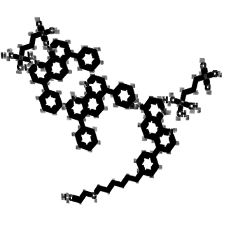 C=CCOCCCCCCc1ccc(-c2ccnc3c2ccc2[c]([Ru+2])ccnc23)cc1.C[Si](C)(C)CCCS(=O)(=O)[O-].C[Si](C)(C)CCCS(=O)(=O)[O-].c1ccc(-c2ccnc3c2ccc2c(-c4ccccc4)ccnc23)cc1.c1ccc(-c2ccnc3c2ccc2c(-c4ccccc4)ccnc23)cc1